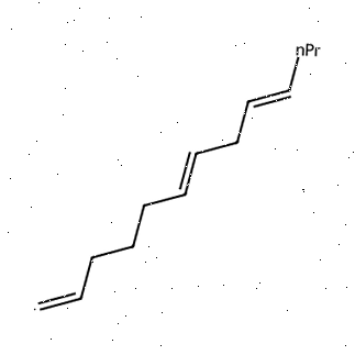 [CH]=CCCCC=CCC=CCCC